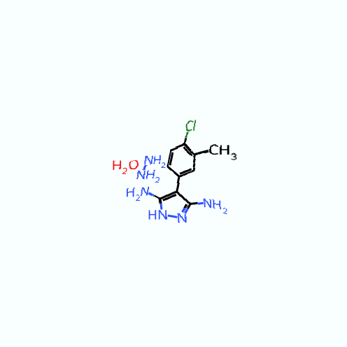 Cc1cc(-c2c(N)n[nH]c2N)ccc1Cl.NN.O